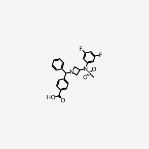 CS(=O)(=O)N(c1cc(F)cc(F)c1)C1CN(C(c2ccccc2)c2ccc(C(=O)O)cc2)C1